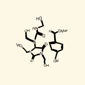 COC(=O)c1ccc(O)cc1.O=C1C(N(CO)C(=O)NCO)N(CO)C(=O)N1CO